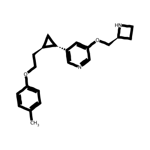 Cc1ccc(OCC[C@H]2C[C@@H]2c2cncc(OC[C@@H]3CCN3)c2)cc1